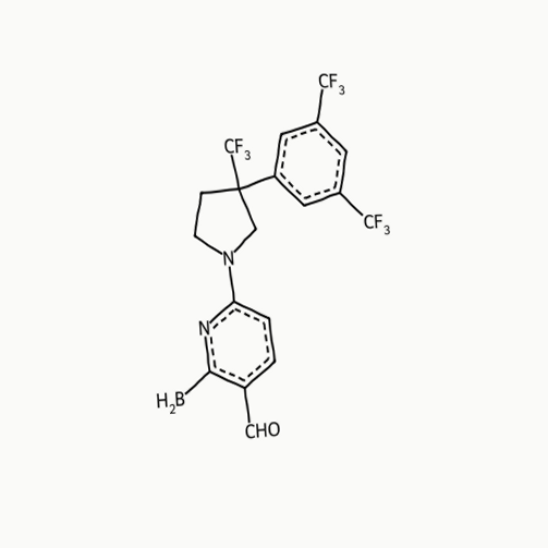 Bc1nc(N2CCC(c3cc(C(F)(F)F)cc(C(F)(F)F)c3)(C(F)(F)F)C2)ccc1C=O